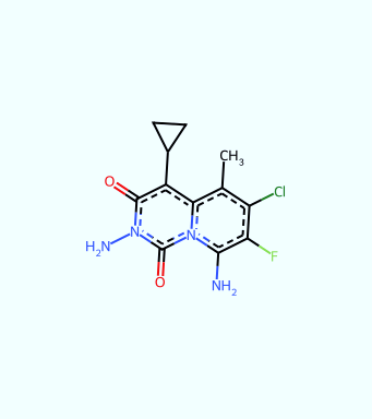 Cc1c(Cl)c(F)c(N)n2c(=O)n(N)c(=O)c(C3CC3)c12